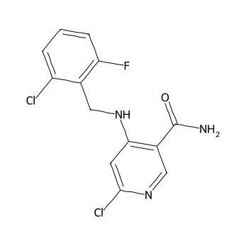 NC(=O)c1cnc(Cl)cc1NCc1c(F)cccc1Cl